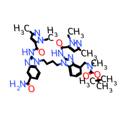 CCn1nc(C)cc1C(=O)Nc1nc2cc(C(N)=O)ccc2n1CCCCn1c(NC(=O)c2cc(C)nn2CC)nc2c(CN(C)C(=O)OC(C)(C)C)cccc21